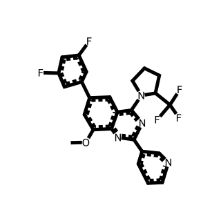 COc1cc(-c2cc(F)cc(F)c2)cc2c(N3CCCC3C(F)(F)F)nc(-c3cccnc3)nc12